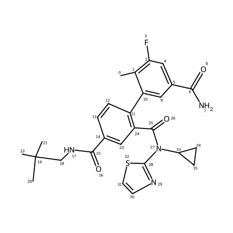 Cc1c(F)cc(C(N)=O)cc1-c1ccc(C(=O)NCC(C)(C)C)cc1C(=O)N(c1nccs1)C1CC1